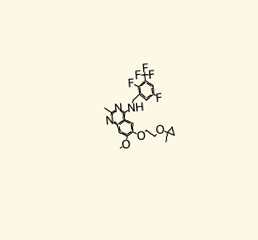 COc1cc2nc(C)nc(NCc3cc(F)cc(C(F)(F)F)c3F)c2cc1OCCOC1(C)CC1